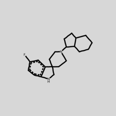 Fc1ccc2c(c1)C1(CCN(C3CCC4CCCCC43)CC1)CN2